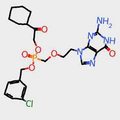 Nc1nc2c(ncn2CCOCP(=O)(OCC(=O)C2CCCCC2)OCc2cccc(Cl)c2)c(=O)[nH]1